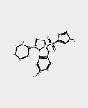 Cn1cnc(S(=O)(=O)[N+]2(Cc3ccc(F)cc3)CC[C@H](C3OCCCO3)C2)c1